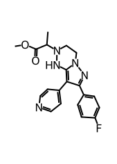 COC(=O)C(C)N1CCn2nc(-c3ccc(F)cc3)c(-c3ccncc3)c2N1